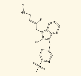 CC(C)c1c(Cc2ccc(S(C)(=O)=O)nc2)c2ncccc2n1C/C(F)=C/CNCl